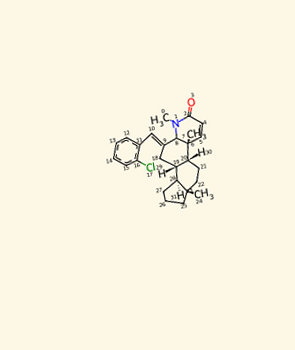 CN1C(=O)C=C[C@@]2(C)C1C(=Cc1ccccc1Cl)C[C@@H]1[C@H]2CC[C@]2(C)CCC[C@@H]12